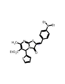 CCOC(=O)C1=C(C)N=c2s/c(=C\c3ccc(N(CC)CC)cc3)c(=O)n2C1c1cccs1